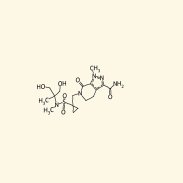 CN(C(C)(CO)CO)S(=O)(=O)C1(CN2CCc3c(C(N)=O)nn(C)c3C2=O)CC1